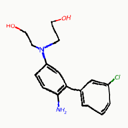 Nc1ccc(N(CCO)CCO)cc1-c1cccc(Cl)c1